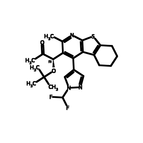 CC(=O)[C@@H](OC(C)(C)C)c1c(C)nc2sc3c(c2c1-c1cnn(C(F)F)c1)CCCC3